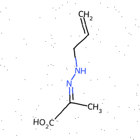 C=CCNN=C(C)C(=O)O